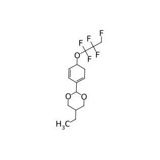 CCC1COC(C2=CCC(OC(F)(F)C(F)(F)CF)C=C2)OC1